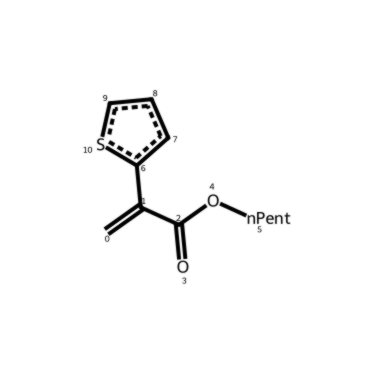 C=C(C(=O)OCCCCC)c1cccs1